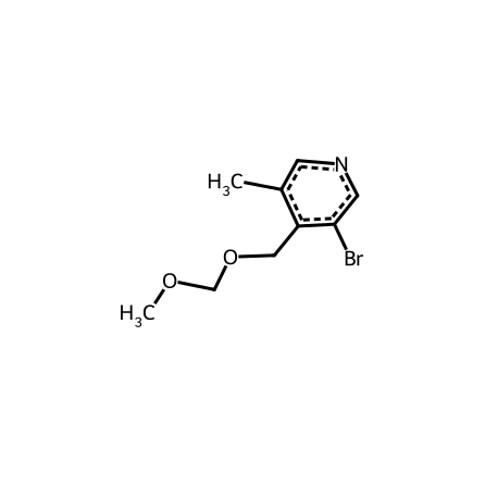 COCOCc1c(C)cncc1Br